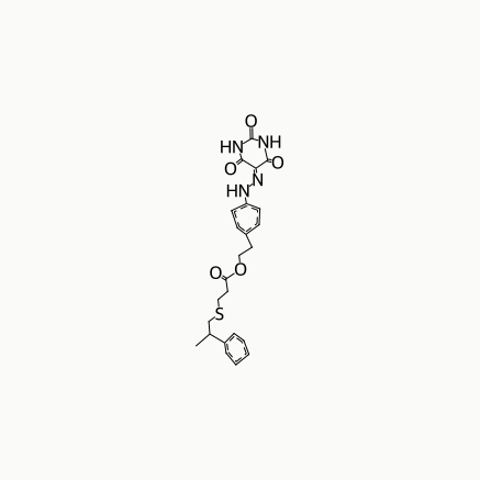 CC(CSCCC(=O)OCCc1ccc(NN=C2C(=O)NC(=O)NC2=O)cc1)c1ccccc1